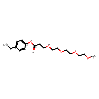 CCCOCCOCCOCCOCCC(=O)Oc1ccc(COC(C)=O)cc1